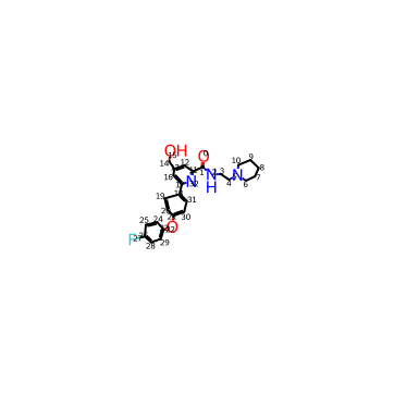 O=C(NCCN1CCCCC1)c1cc(CO)cc(-c2ccc(Oc3ccc(F)cc3)cc2)n1